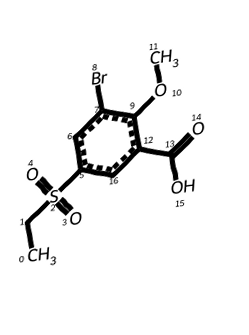 CCS(=O)(=O)c1cc(Br)c(OC)c(C(=O)O)c1